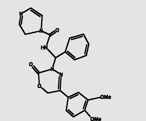 COc1ccc(C2=NN(C(NC(=O)N3C=CN=CC3)c3ccccc3)C(=O)OC2)cc1OC